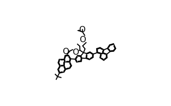 CCC(OCC1CO1)C1(CCCOCC2CO2)c2cc(-c3ccc4c5c(cccc35)-c3ccccc3-4)ccc2-c2ccc(-c3ccc4ccc5cc(C(C)(C)C)cc6ccc3c4c56)cc21